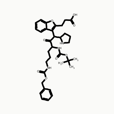 CC(C)(C)OC(=O)NC(CCCNC(=O)OCc1ccccc1)C(=O)C(c1c(CCC(=O)O)oc2ccccc12)C1CCCN1